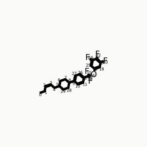 CC/C=C\CC1CCC(c2ccc(C(F)(F)Oc3cc(F)c(F)c(F)c3)cc2)CC1